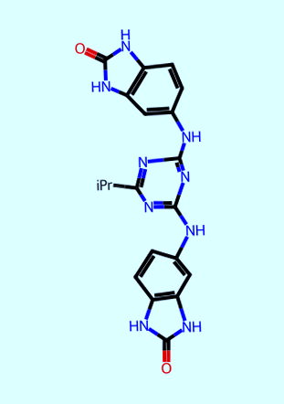 CC(C)c1nc(Nc2ccc3[nH]c(=O)[nH]c3c2)nc(Nc2ccc3[nH]c(=O)[nH]c3c2)n1